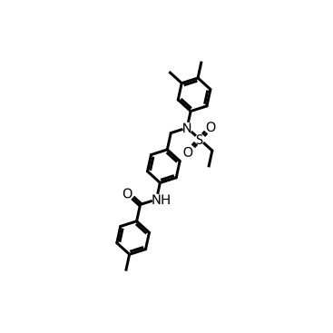 CCS(=O)(=O)N(Cc1ccc(NC(=O)c2ccc(C)cc2)cc1)c1ccc(C)c(C)c1